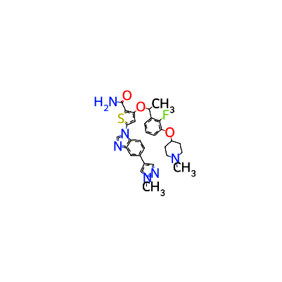 CC(Oc1cc(-n2cnc3cc(-c4cnn(C)c4)ccc32)sc1C(N)=O)c1cccc(OC2CCN(C)CC2)c1F